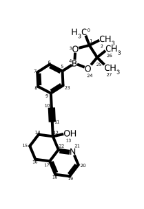 CC1(C)OB(c2cccc(C#CC3(O)CCCc4cccnc43)c2)OC1(C)C